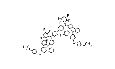 C=Cc1ccc(Oc2ccc(C3(c4ccc(F)cc4)c4ccccc4-c4ccc(N(c5ccc(-c6ccc(N(c7ccc8c(c7)C(c7ccc(F)cc7)(c7ccc(Oc9ccc(C=C)cc9)cc7)c7ccccc7-8)c7c(F)c(F)cc(F)c7F)cc6)cc5)c5c(F)c(F)cc(F)c5F)cc43)cc2)cc1